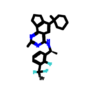 Cc1nc(N[C@H](C)c2cccc(C(F)(F)C(C)C)c2F)c2cc(C3(C)CCCCC3)c3c(c2n1)CCC3